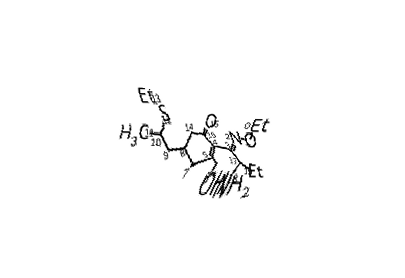 CCON=C(C1=C(O)CC(CC(C)SCC)CC1=O)C(N)CC